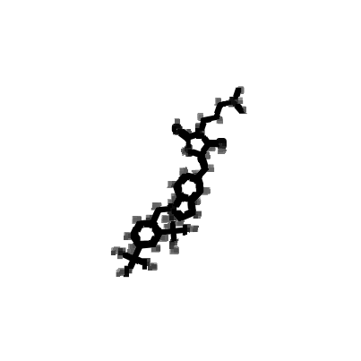 CN(C)CCCN1C(=O)S/C(=C\c2ccc3c(ccn3Cc3ccc(C(F)(F)F)cc3C(F)(F)F)c2)C1=O